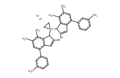 Cc1cccc(-c2cc(C)c(C)c3c2C=C(C(C)C)[CH]3[Zr+2]2([CH]3C(C(C)C)=Cc4c(-c5cccc(C)c5)cc(C)c(C)c43)[CH2][CH2]2)c1.[Cl-].[Cl-]